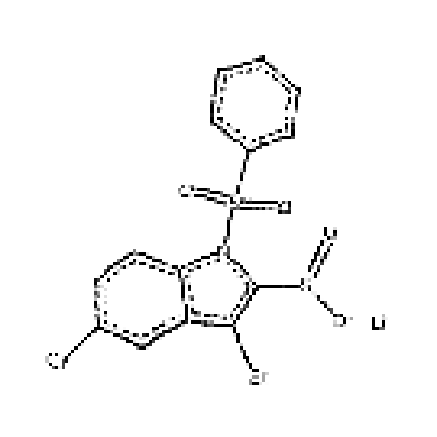 CCc1c(S(=O)[O-])n(S(=O)(=O)c2ccccc2)c2ccc(Cl)cc12.[Li+]